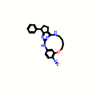 [C-]#[N+]c1ccc2cc1OCCCCNc1nc(nc3c1CCC3c1ccccc1)N2